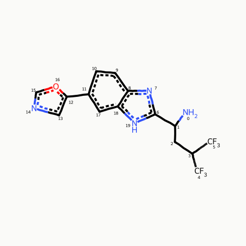 NC(CC(C(F)(F)F)C(F)(F)F)c1nc2ccc(-c3cnco3)cc2[nH]1